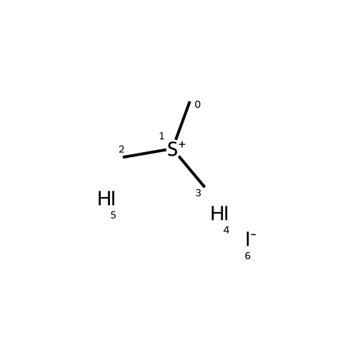 C[S+](C)C.I.I.[I-]